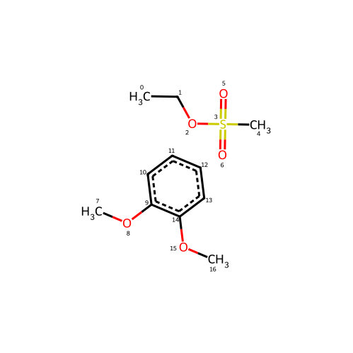 CCOS(C)(=O)=O.COc1ccccc1OC